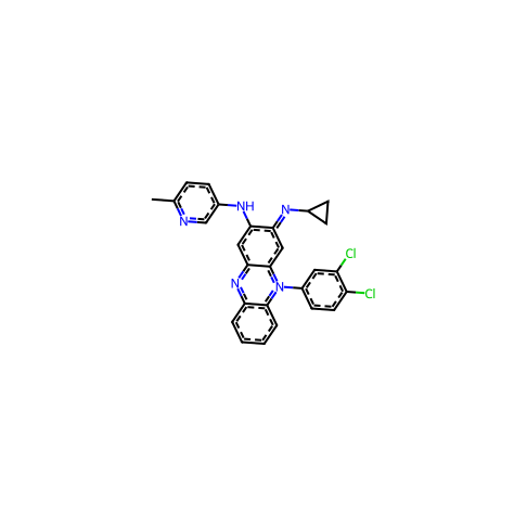 Cc1ccc(Nc2cc3nc4ccccc4n(-c4ccc(Cl)c(Cl)c4)c-3c/c2=N\C2CC2)cn1